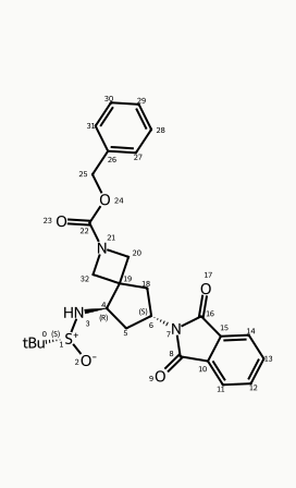 CC(C)(C)[S@@+]([O-])N[C@@H]1C[C@@H](N2C(=O)c3ccccc3C2=O)CC12CN(C(=O)OCc1ccccc1)C2